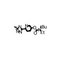 CCN(C(=O)Oc1ccc(-c2nnn(C)n2)nc1)C(C)(C)C